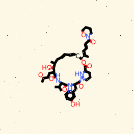 CC(=O)CCC1C(=O)NC(C(C)C)C(=O)NC(Cc2cccc(O)c2)C(=O)N2CCCC(N2)C(=O)O[C@H](/C(C)=C/C=C/C(=O)N2CCCCO2)C/C=C/C=C/CC(C)C1O